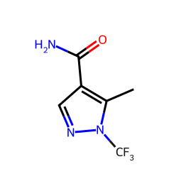 Cc1c(C(N)=O)cnn1C(F)(F)F